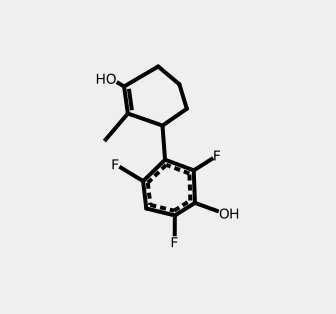 CC1=C(O)CCCC1c1c(F)cc(F)c(O)c1F